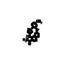 CC(=O)c1cnc2ccc(Br)cc2c1Nc1cnn(C2CCN(C)CC2)c1